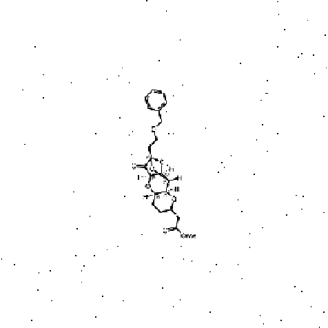 COC(=O)CC1CC[C@@H]2O[C@H]3C(=O)[C@@]4(CCOCc5ccccc5)O[C@@H]([C@H]2O1)[C@@H]3O4